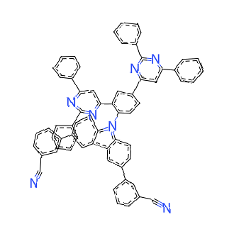 N#Cc1cccc(-c2ccc3c(c2)c2cc(-c4cccc(C#N)c4)ccc2n3-c2ccc(-c3cc(-c4ccccc4)nc(-c4ccccc4)n3)cc2-c2cc(-c3ccccc3)nc(-c3ccccc3)n2)c1